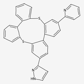 c1ccc(-c2ccc3c(c2)Sc2ccccc2-c2ccccc2Sc2cc(-c4cc[nH]n4)ccc2-3)nc1